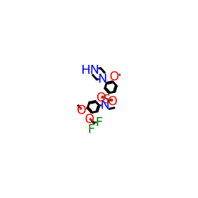 CCN(c1ccc(OC)c(OC(F)F)c1)S(=O)(=O)c1ccc(OC)c(N2CCNCC2)c1